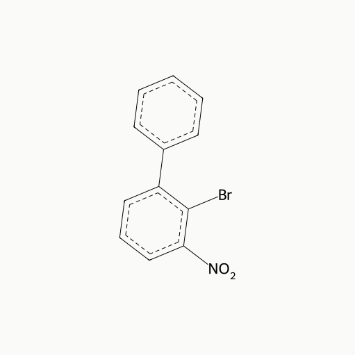 O=[N+]([O-])c1cccc(-c2ccccc2)c1Br